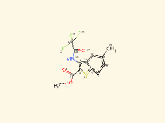 COC(=O)c1sc2ccc(C)cc2c1NC(=O)C(F)(F)F